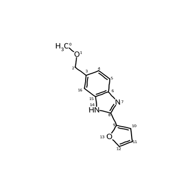 COCc1ccc2nc(-c3ccco3)[nH]c2c1